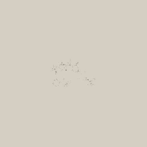 COC(=O)Cc1ccccc1CCc1nc(Nc2ccc(C3CCN(C(=O)O)CC3)cc2OC)ncc1C(F)(F)F